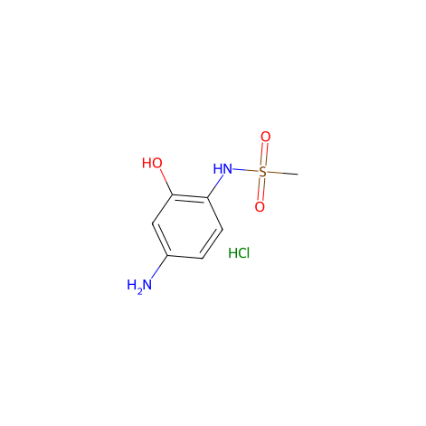 CS(=O)(=O)Nc1ccc(N)cc1O.Cl